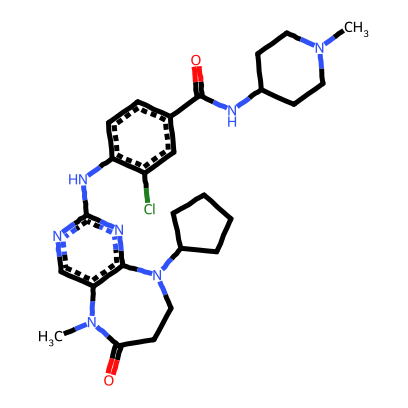 CN1CCC(NC(=O)c2ccc(Nc3ncc4c(n3)N(C3CCCC3)CCC(=O)N4C)c(Cl)c2)CC1